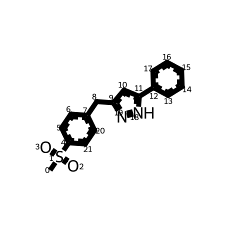 CS(=O)(=O)c1ccc(Cc2cc(-c3ccccc3)[nH]n2)cc1